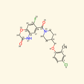 N#Cc1cc(Cl)ccc1OCC1CCN(C(=O)c2cc3c(cc2F)OCC(=O)N3)CC1